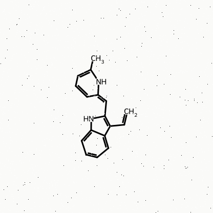 C=Cc1c(/C=C2\C=CC=C(C)N2)[nH]c2ccccc12